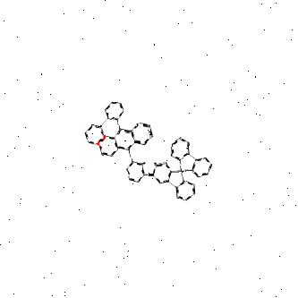 c1ccc(-c2ccccc2-c2c3ccccc3c(-c3cccc4c3oc3cc5c(cc34)-c3ccccc3C53c4ccccc4-c4ccccc43)c3ccccc23)cc1